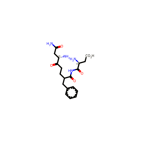 NC(=O)C[C@H](N)C(=O)CCC(Cc1ccccc1)C(=O)NC(=O)[C@@H](N)CC(=O)O